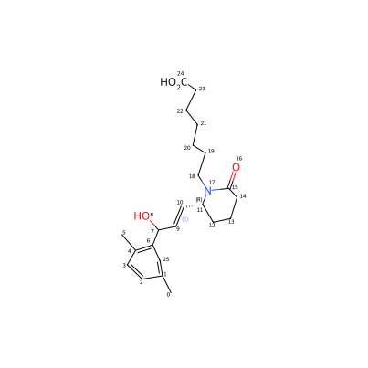 Cc1ccc(C)c(C(O)/C=C/[C@H]2CCCC(=O)N2CCCCCCC(=O)O)c1